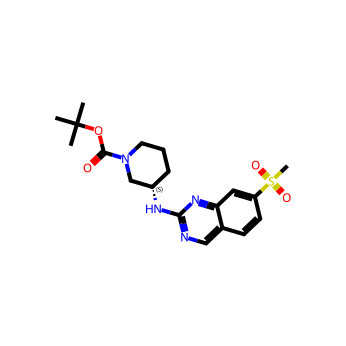 CC(C)(C)OC(=O)N1CCC[C@H](Nc2ncc3ccc(S(C)(=O)=O)cc3n2)C1